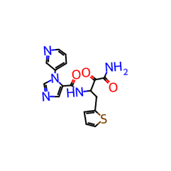 NC(=O)C(=O)C(Cc1cccs1)NC(=O)c1cncn1-c1cccnc1